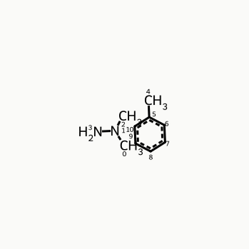 CN(C)N.Cc1ccccc1